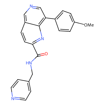 COc1ccc(-c2cncc3ccc(C(=O)NCc4ccncc4)nc23)cc1